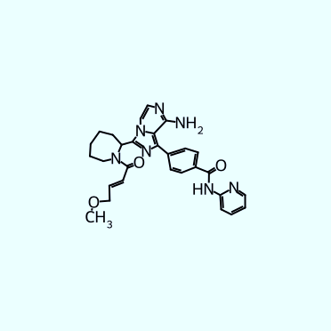 COC/C=C/C(=O)N1CCCCCC1c1nc(-c2ccc(C(=O)Nc3ccccn3)cc2)c2c(N)nccn12